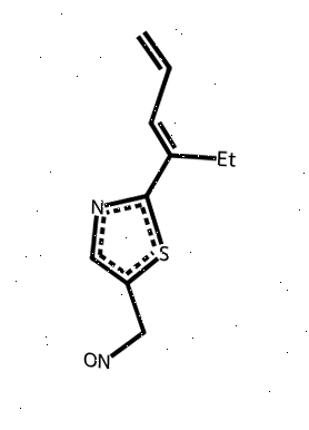 C=C/C=C(\CC)c1ncc(CN=O)s1